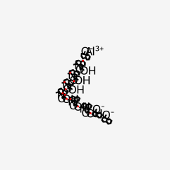 Cc1ccc2cccc(C(=O)O)c2n1.Cc1ccc2cccc(C(=O)O)c2n1.Cc1ccc2cccc(C(=O)O)c2n1.Cc1ccc2cccc(C(=O)O)c2n1.Cc1ccc2cccc(C(=O)O)c2n1.Cc1ccc2cccc(C(=O)O)c2n1.[Al+3].[O-]c1cccc2ccccc12.[O-]c1cccc2ccccc12.[O-]c1cccc2ccccc12